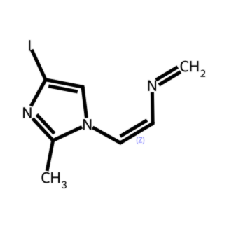 C=N/C=C\n1cc(I)nc1C